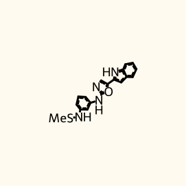 CSNc1cccc(Nc2ncc(-c3cc4ccccc4[nH]3)o2)c1